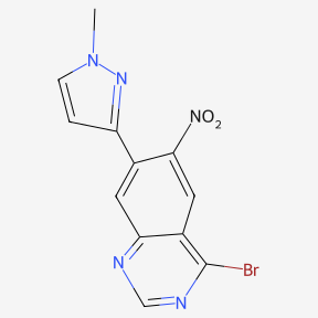 Cn1ccc(-c2cc3ncnc(Br)c3cc2[N+](=O)[O-])n1